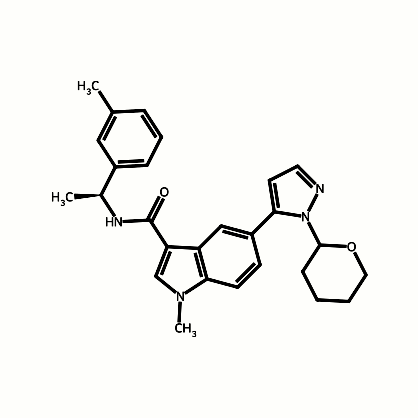 Cc1cccc([C@H](C)NC(=O)c2cn(C)c3ccc(-c4ccnn4C4CCCCO4)cc23)c1